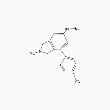 CCNc1cc2c(c(-c3ccc(C#N)cc3)c1)CN(C#N)C2